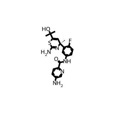 CC(C)(O)C1=C[C@@](C)(c2cc(NC(=O)c3ccc(N)cn3)ccc2F)N=C(N)S1